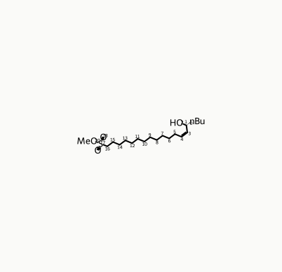 CCCC[C@@H](O)/C=C\CCCCCCCCCCCCS(=O)(=O)OC